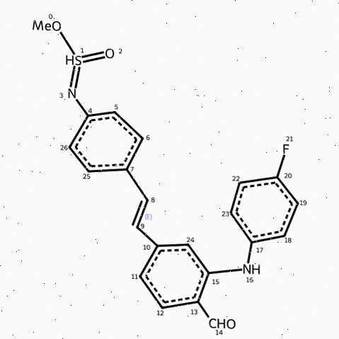 CO[SH](=O)=Nc1ccc(/C=C/c2ccc(C=O)c(Nc3ccc(F)cc3)c2)cc1